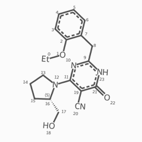 CCOc1ccccc1Cc1nc(N2CCC[C@H]2CO)c(C#N)c(=O)[nH]1